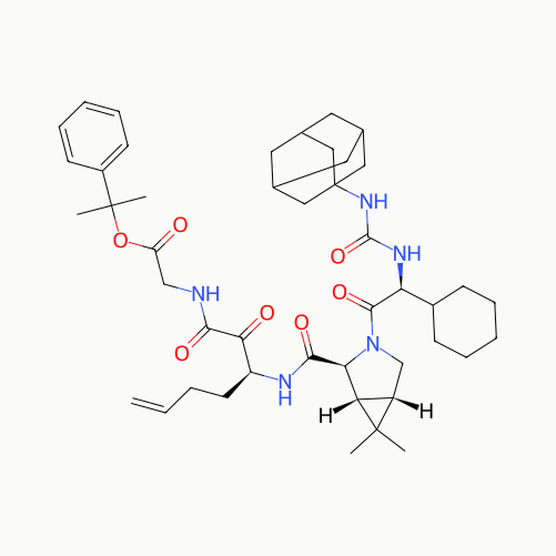 C=CCC[C@H](NC(=O)[C@@H]1[C@@H]2[C@H](CN1C(=O)[C@@H](NC(=O)NC13CC4CC(CC(C4)C1)C3)C1CCCCC1)C2(C)C)C(=O)C(=O)NCC(=O)OC(C)(C)c1ccccc1